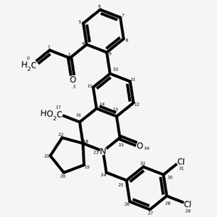 C=CC(=O)c1ccccc1-c1ccc2c(c1)C(C(=O)O)C1(CCCC1)N(Cc1ccc(Cl)c(Cl)c1)C2=O